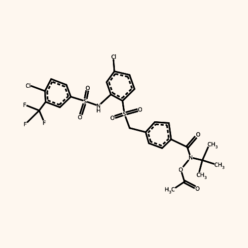 CC(=O)ON(C(=O)c1ccc(CS(=O)(=O)c2ccc(Cl)cc2NS(=O)(=O)c2ccc(Cl)c(C(F)(F)F)c2)cc1)C(C)(C)C